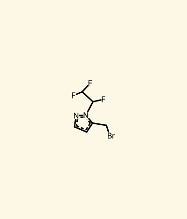 FC(F)C(F)n1nccc1CBr